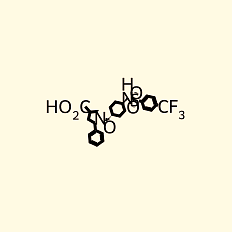 O=C(O)C1CC(c2ccccc2)N(C(=O)[C@H]2CC[C@H](NS(=O)(=O)c3ccc(C(F)(F)F)cc3)CC2)C1